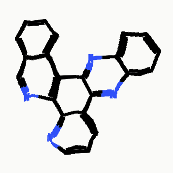 c1ccc2c(c1)cnc1c3ncccc3c3nc4ccccc4nc3c21